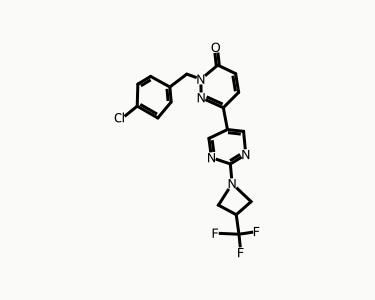 O=c1ccc(-c2cnc(N3CC(C(F)(F)F)C3)nc2)nn1Cc1ccc(Cl)cc1